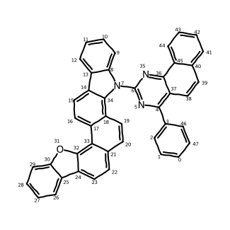 c1ccc(-c2nc(-n3c4ccccc4c4ccc5c(ccc6ccc7c8ccccc8oc7c65)c43)nc3c2ccc2ccccc23)cc1